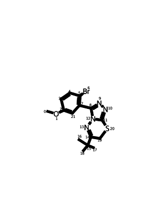 COc1ccc(Br)c(-c2nnc3n2N=C(C(C)(C)C)CS3)c1